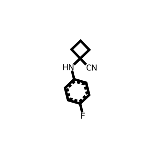 N#CC1(Nc2ccc(F)cc2)CCC1